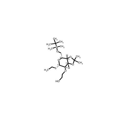 CCS[C@@H]1O[C@H](CO[Si](C)(C)C(C)(C)C)[C@@H]2OC(C)(C)O[C@@H]2[C@H]1OCCO